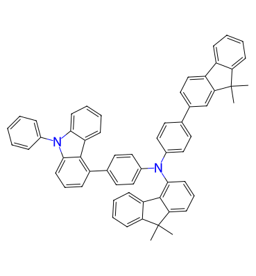 CC1(C)c2ccccc2-c2ccc(-c3ccc(N(c4ccc(-c5cccc6c5c5ccccc5n6-c5ccccc5)cc4)c4cccc5c4-c4ccccc4C5(C)C)cc3)cc21